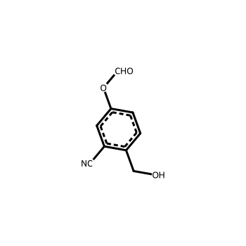 N#Cc1cc(OC=O)ccc1CO